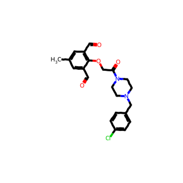 Cc1cc(C=O)c(OCC(=O)N2CCN(Cc3ccc(Cl)cc3)CC2)c(C=O)c1